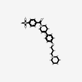 CS(=O)(=O)c1ccc(C(=O)N2CC=C(c3ccc(OCCCN4CCCCC4)cc3)CC2)cc1